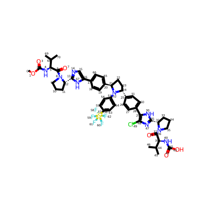 COC(=O)N[C@H](C(=O)N1CCC[C@H]1c1ncc(-c2ccc([C@H]3CC[C@H](c4ccc(-c5[nH]c([C@@H]6CCCN6C(=O)[C@@H](NC(=O)O)C(C)C)nc5Cl)cc4)N3c3ccc(S(F)(F)(F)(F)F)cc3)cc2)[nH]1)C(C)C